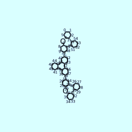 c1ccc2c(c1)Oc1ccc(-c3ccc4c5ccc(-c6ccc7c(c6)-c6ccccc6-c6ccccc6O7)cc5c5ccccc5c4c3)cc1-c1ccccc1-2